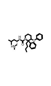 CCCCC1(c2ccccc2)C(Oc2ccccc2)CCCN1C(=O)N[C@H](CNC)CC(C)C